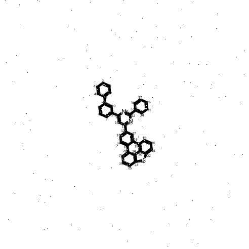 c1ccc(-c2cccc(-c3cc(-c4ccc5c(c4)c4cccc6sc7cccc5c7c64)nc(-c4ccccc4)n3)c2)cc1